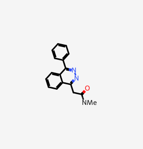 CNC(=O)Cc1nnc(-c2ccccc2)c2ccccc12